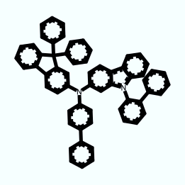 c1ccc(-c2ccc(N(c3ccc4c(c3)C(c3ccccc3)(c3ccccc3)c3ccccc3-4)c3ccc4c5ccccc5n(-c5ccccc5-c5ccccc5)c4c3)cc2)cc1